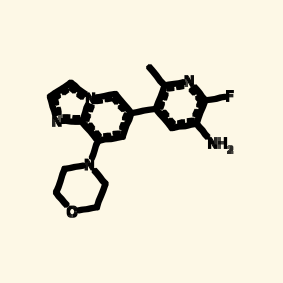 Cc1nc(F)c(N)cc1-c1cc(N2CCOCC2)c2nccn2c1